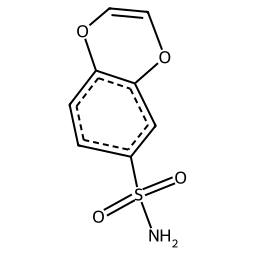 NS(=O)(=O)c1ccc2c(c1)OC=CO2